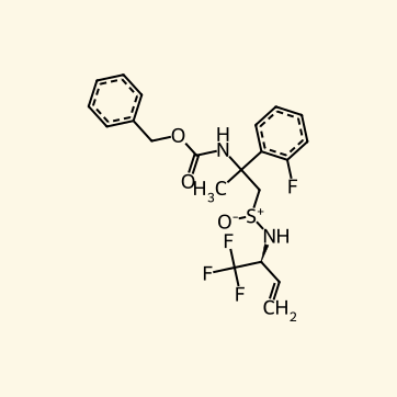 C=C[C@H](N[S+]([O-])CC(C)(NC(=O)OCc1ccccc1)c1ccccc1F)C(F)(F)F